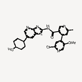 COc1cnc(Cl)cc1-c1cc(C)ncc1C(=O)Nc1nc2ncc(C3CCC(O)CC3)cc2s1